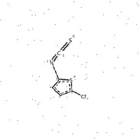 S=C=Nc1ccc(Cl)s1